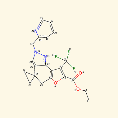 CCOC(=O)c1oc2c(c1C(F)(F)F)-c1nn(Cc3ccccn3)cc1C1(CC1)C2